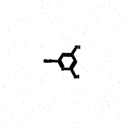 COc1cc(O)cc(O)n1